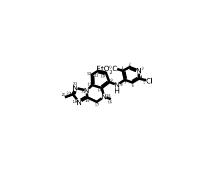 CCOC(=O)c1cnc(Cl)cc1Nc1cccc2c1N(C)Cc1nc(C)nn1-2